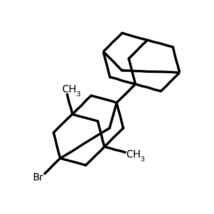 CC12CC3(C)CC(Br)(C1)CC(C14CC5CC(CC(C5)C1)C4)(C2)C3